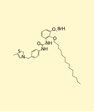 Br.CCCCCCCCCCCCCCOc1c(NC(=O)Nc2ccc(CN3C=C(C)SC3)cc2)cccc1OC